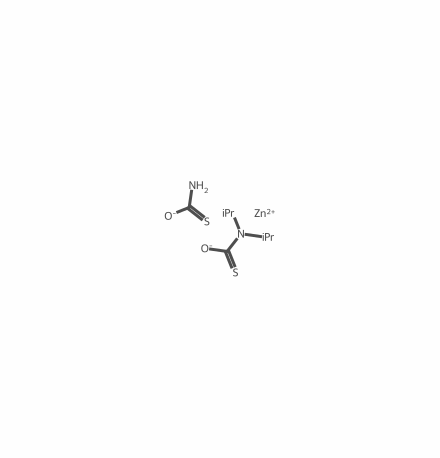 CC(C)N(C([O-])=S)C(C)C.NC([O-])=S.[Zn+2]